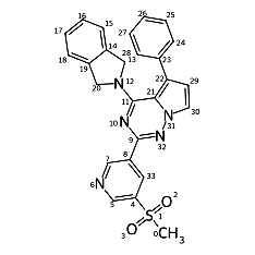 CS(=O)(=O)c1cncc(-c2nc(N3Cc4ccccc4C3)c3c(-c4ccccc4)ccn3n2)c1